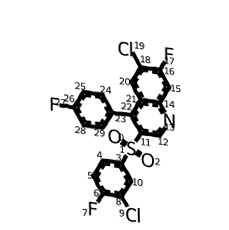 O=S(=O)(c1ccc(F)c(Cl)c1)c1cnc2cc(F)c(Cl)cc2c1-c1ccc(F)cc1